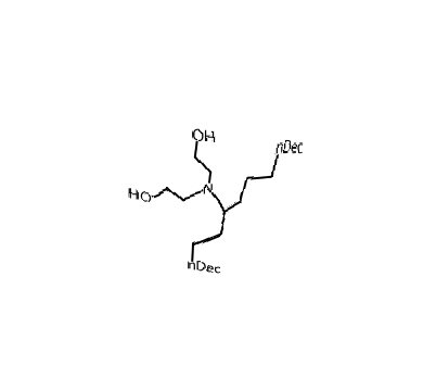 CCCCCCCCCCCCCC(CCCCCCCCCCCC)N(CCO)CCO